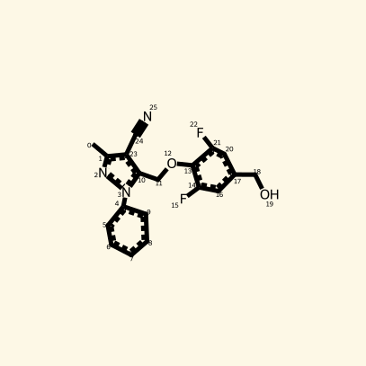 Cc1nn(-c2ccccc2)c(COc2c(F)cc(CO)cc2F)c1C#N